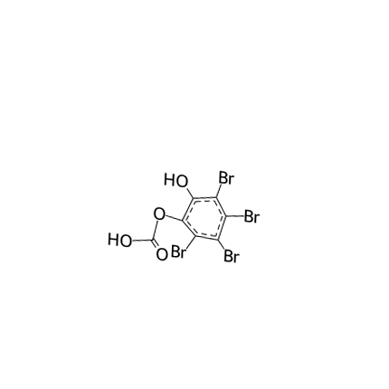 O=C(O)Oc1c(O)c(Br)c(Br)c(Br)c1Br